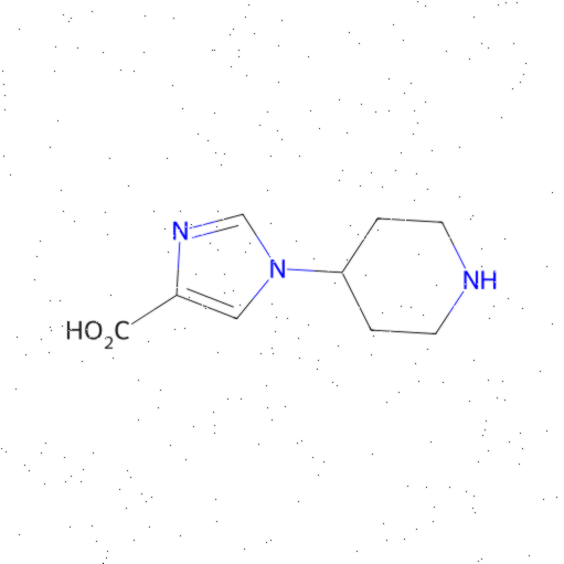 O=C(O)c1cn(C2CCNCC2)cn1